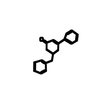 O=C1C=C(c2ccccc2)CC(Cc2ccccc2)C1